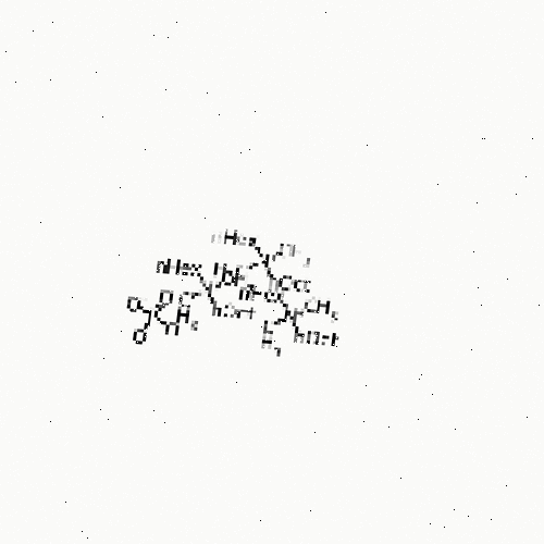 CCCCCCCC[N+](C)(C)CCCCCC.CCCCCCCC[N+](C)(C)CCCCCC.CCCCCCCC[N+](C)(C)CCCCCC.O=P([O-])([O-])[O-]